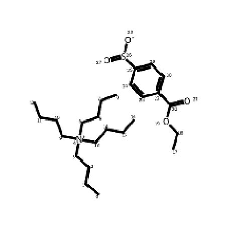 CCCC[N+](CCCC)(CCCC)CCCC.CCOC(=O)c1ccc(S(=O)[O-])cc1